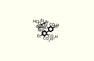 CCC(Br)(CC)C(=O)NC(N)=O.CCc1ccc(-c2ccc(CC)c(C(=O)O)c2C(=O)O)c(C(=O)O)c1C(=O)O.Cl